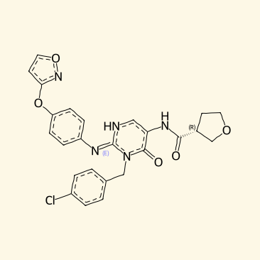 O=C(Nc1c[nH]/c(=N\c2ccc(Oc3ccon3)cc2)n(Cc2ccc(Cl)cc2)c1=O)[C@@H]1CCOC1